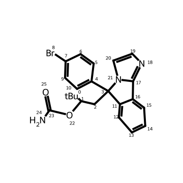 CC(C)(C)C(CC1(c2ccc(Br)cc2)c2ccccc2-c2nccn21)OC(N)=O